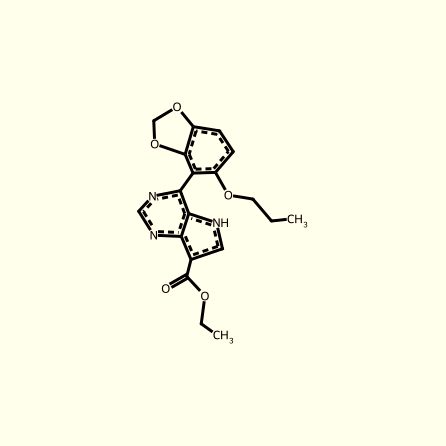 CCCOc1ccc2c(c1-c1ncnc3c(C(=O)OCC)c[nH]c13)OCO2